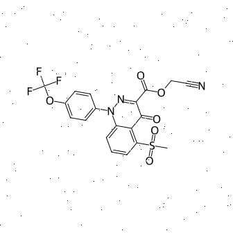 CS(=O)(=O)c1cccc2c1c(=O)c(C(=O)OCC#N)nn2-c1ccc(OC(F)(F)F)cc1